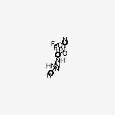 O=C(NCc1ccncc1OCC(F)F)c1cccc(NCc2nnc(-c3ccncc3)[nH]2)c1